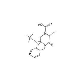 CC1C(=O)N(Cc2ccccc2)C2(CC2C(C)(C)C)CN1C(=O)O